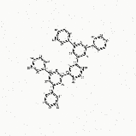 c1ccc(-c2cc(-c3cccnc3)cc(-c3cc(-c4cc(-c5cccnc5)cc(-c5cccnc5)c4)ncn3)c2)cc1